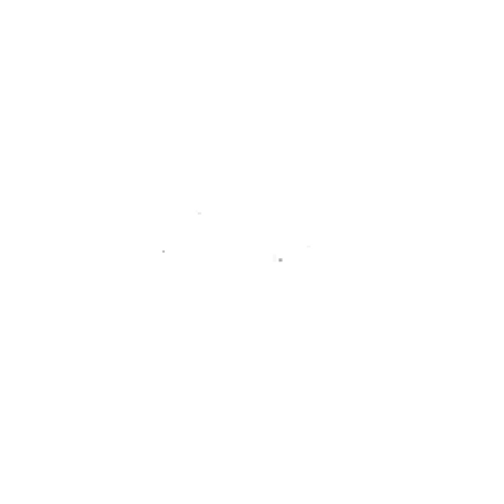 CC/C=N\N(C(F)F)C1CC(N)=NC=N1